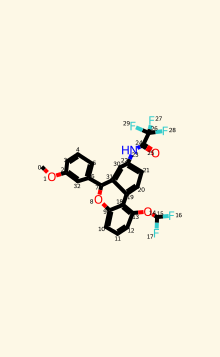 COc1cccc(C2Oc3cccc(OC(F)F)c3-c3ccc(NC(=O)C(F)(F)F)cc32)c1